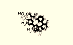 C=C/C=C\C(=C/N)C(=C)/C=c1\c(=C/N)[nH]c2ncc(F)c(-c3cccc(NC(=O)CCC(=O)O)c3)c12